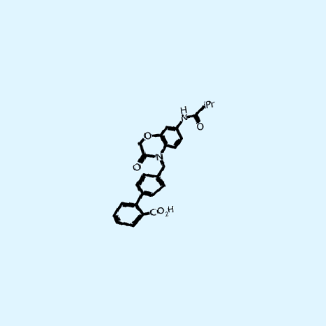 CC(C)C(=O)Nc1ccc2c(c1)OCC(=O)N2Cc1ccc(-c2ccccc2C(=O)O)cc1